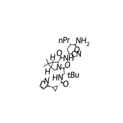 CCC[C@@H](C[C@@H](C#N)NC(=O)[C@@H]1[C@@H]2[C@H](CN1C(=O)[C@@H](NC(=O)[C@@H]1C[C@H]1c1cccn1C)C(C)(C)C)C2(C)C)C(N)=O